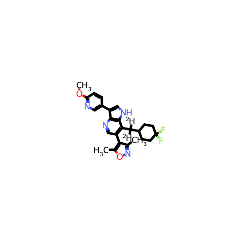 [2H]C([2H])(c1c(-c2c(C)noc2C)cnc2c(-c3ccc(OC)nc3)c[nH]c12)C1CCC(F)(F)CC1